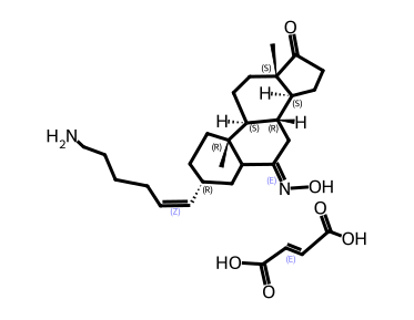 C[C@]12CC[C@@H](/C=C\CCCCN)CC1/C(=N/O)C[C@@H]1[C@@H]2CC[C@]2(C)C(=O)CC[C@@H]12.O=C(O)/C=C/C(=O)O